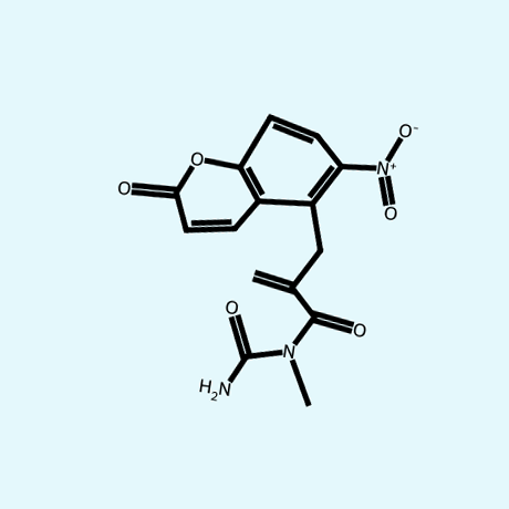 C=C(Cc1c([N+](=O)[O-])ccc2oc(=O)ccc12)C(=O)N(C)C(N)=O